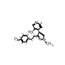 Cc1cnccc1-c1cn(C)nc1CCc1ccc(Cl)cc1